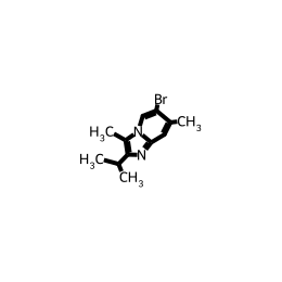 Cc1cc2nc(C(C)C)c(C)n2cc1Br